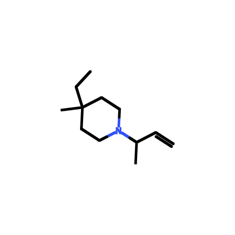 C=CC(C)N1CCC(C)(CC)CC1